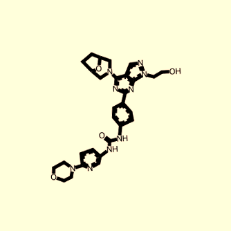 O=C(Nc1ccc(-c2nc(N3CC4CCC(C3)O4)c3cnn(CCO)c3n2)cc1)Nc1ccc(N2CCOCC2)nc1